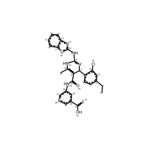 CCc1ccc(C2N=C(Nc3nc4ccccc4o3)NC(C)=C2C(=O)Nc2cncc(C(O)=S)c2)c(Cl)c1